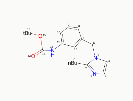 CCCCc1nccn1Cc1cccc(NC(=O)OC(C)(C)C)c1